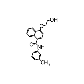 Cc1cccc(NC(=O)c2ccc(OCCO)c3ccccc23)c1